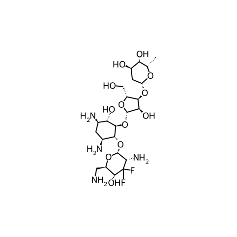 C[C@@H]1O[C@H](O[C@H]2[C@@H](O)[C@H](O[C@@H]3[C@@H](O)[C@H](N)C[C@H](N)[C@H]3O[C@H]3O[C@H](CN)[C@@H](O)C(F)(F)[C@H]3N)O[C@@H]2CO)C[C@@H](O)[C@@H]1O